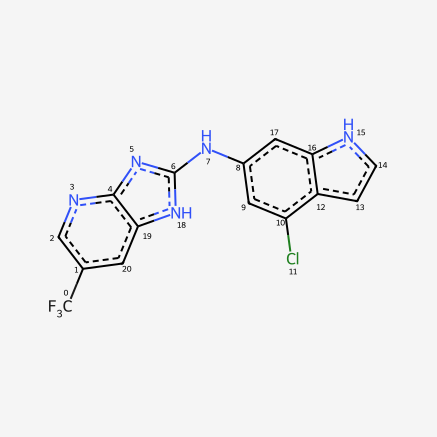 FC(F)(F)c1cnc2nc(Nc3cc(Cl)c4cc[nH]c4c3)[nH]c2c1